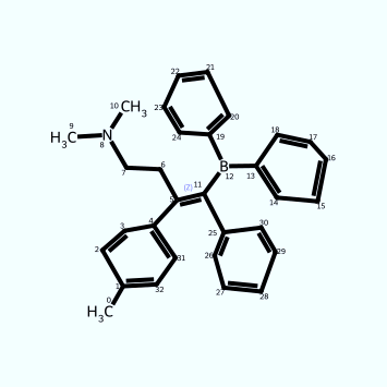 Cc1ccc(/C(CCN(C)C)=C(/B(c2ccccc2)c2ccccc2)c2ccccc2)cc1